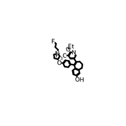 CCOc1ncc(C2=C(C3=CC=C(O[C@H]4CCN(CCCF)C4)CC3)c3ccc(O)cc3CCC2)cc1C